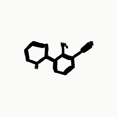 N#Cc1cccc(N2N=CC=CN2)c1N